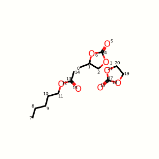 CC1COC(=O)O1.CCCCCOC(C)=O.O=C1OCCO1